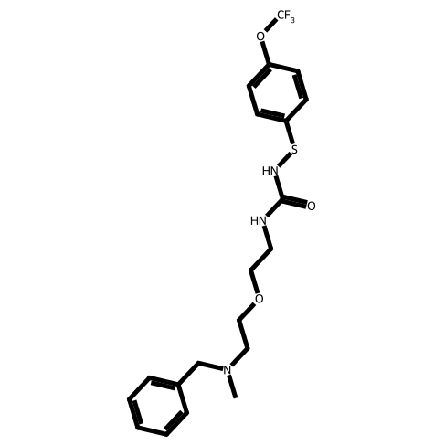 CN(CCOCCNC(=O)NSc1ccc(OC(F)(F)F)cc1)Cc1ccccc1